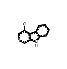 Clc1cncc2[nH]c3ccccc3c12